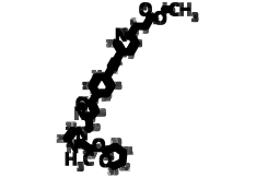 CCOC(=O)CCc1ccc(C#Cc2ccc(-c3cc(Cn4ccnc4C(C)OC4CCCCO4)no3)cc2)cn1